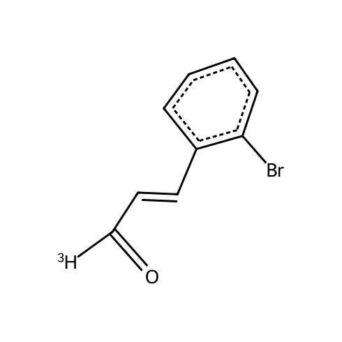 [3H]C(=O)/C=C/c1ccccc1Br